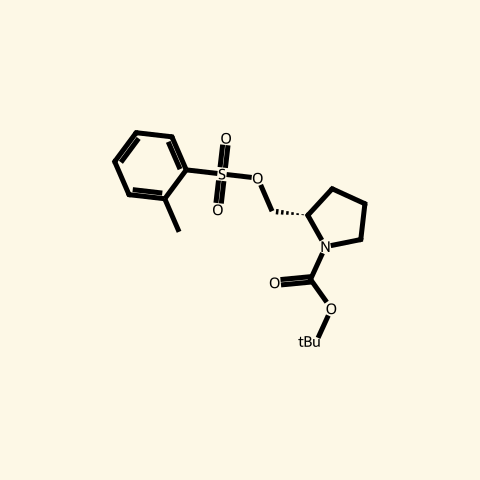 Cc1ccccc1S(=O)(=O)OC[C@@H]1CCCN1C(=O)OC(C)(C)C